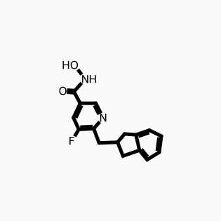 O=C(NO)c1cnc(CC2Cc3ccccc3C2)c(F)c1